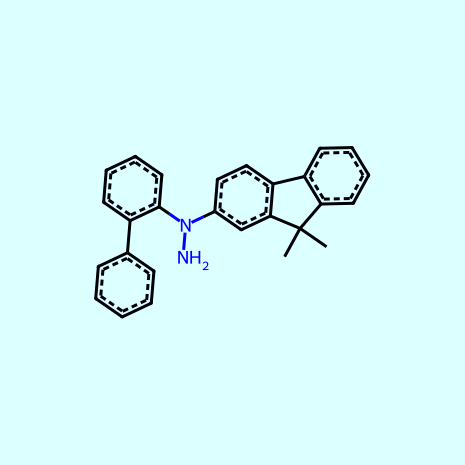 CC1(C)c2ccccc2-c2ccc(N(N)c3ccccc3-c3ccccc3)cc21